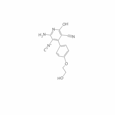 [C-]#[N+]c1c(N)nc(O)c(C#N)c1-c1ccc(OCCO)cc1